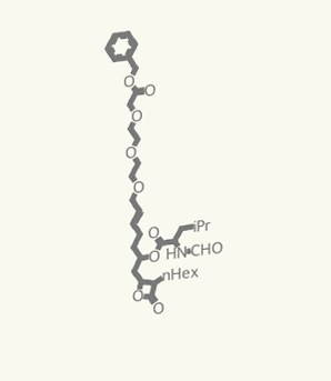 CCCCCCC1C(=O)OC1CC(CCC=CCOCCOCCOCC(=O)OCc1ccccc1)OC(=O)C(CC(C)C)NC=O